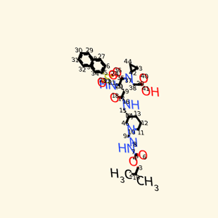 CC(C)COC(=O)NN=CN1CCC[C@@H](CNC(=O)C[C@H](NS(=O)(=O)c2ccc3ccccc3c2)C(=O)N(CC(=O)O)C2CC2)C1